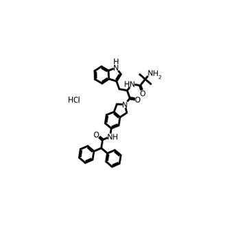 CC(C)(N)C(=O)NC(Cc1c[nH]c2ccccc12)C(=O)N1Cc2ccc(NC(=O)C(c3ccccc3)c3ccccc3)cc2C1.Cl